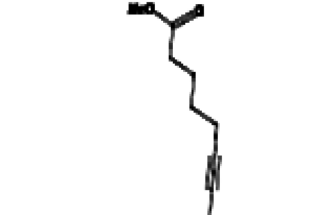 [CH2]C#CCCCCC(=O)OC